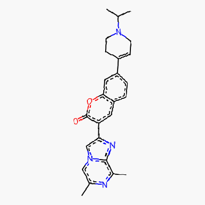 Cc1cn2cc(-c3cc4ccc(C5=CCN(C(C)C)CC5)cc4oc3=O)nc2c(C)n1